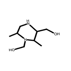 CC1CNC(CO)C(C)N1CO